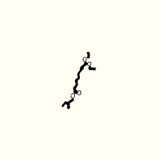 CCOC(C#CCCCCCC(=O)OCC(C)CC)OCC